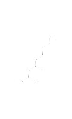 N=C(N)NC(=N)N=CCCN